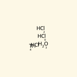 Cl.Cl.Cl.O.[Tl]